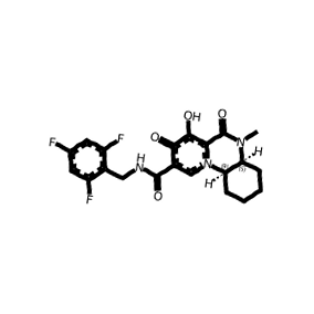 CN1C(=O)c2c(O)c(=O)c(C(=O)NCc3c(F)cc(F)cc3F)cn2[C@@H]2CCCC[C@@H]21